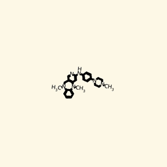 CN1CCN(c2ccc(Nc3cc4c(cn3)CN(C)c3ccccc3N4C)cc2)CC1